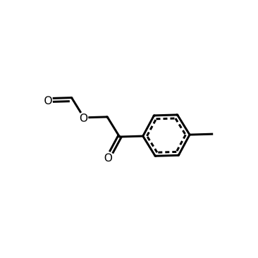 Cc1ccc(C(=O)COC=O)cc1